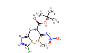 CSC(=N[N+](=O)[O-])N(Cc1cnc(Cl)s1)C(=O)OC(C)(C)C